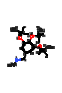 CCCN=Cc1cc(O[Si](C)(C)C(C)(C)C)c(O[Si](C)(C)C(C)(C)C)c(O[Si](C)(C)C(C)(C)C)c1